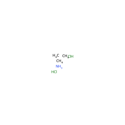 C.C.C.Cl.Cl.N